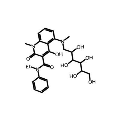 CCN(C(=O)c1c(O)c2c(N(C)CC(O)C(O)C(O)C(O)CO)cccc2n(C)c1=O)c1ccccc1